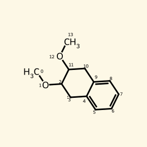 COC1[C]c2ccccc2CC1OC